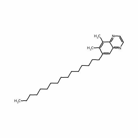 CCCCCCCCCCCCCCCCc1cc2nccnc2c(C)c1C